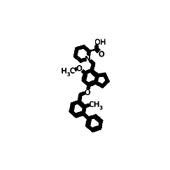 COc1cc(OCc2cccc(-c3ccccc3)c2C)c2c(c1CN1CCCC[C@H]1C(=O)O)CCC2